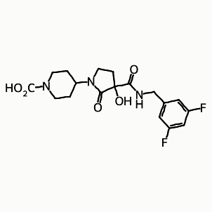 O=C(O)N1CCC(N2CCC(O)(C(=O)NCc3cc(F)cc(F)c3)C2=O)CC1